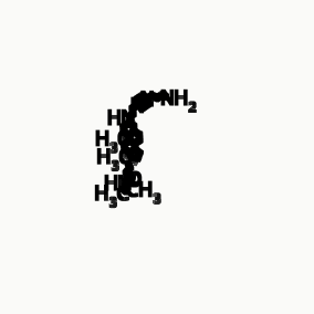 CC(C)NC(=O)CCC[C@H]1CCC2C3CCC4C[C@@H](NCCN5CCN(CCCN)CC5)CC[C@]4(C)C3CC[C@@]21C